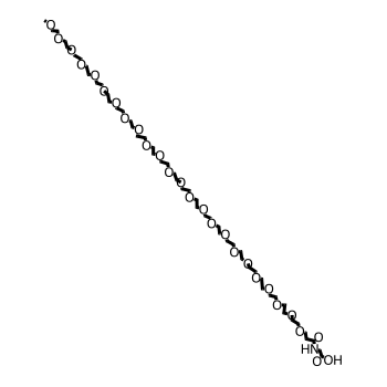 COCCOCCOCCOCCOCCOCCOCCOCCOCCOCCOCCOCCOCCOCCOCCOCCOCCOCCOCCOCCOCCOCCOCCOCCC(=O)NCC(=O)O